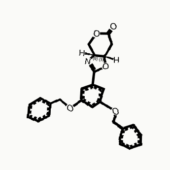 O=C1C[C@@H]2OC(c3cc(OCc4ccccc4)cc(OCc4ccccc4)c3)=N[C@@H]2CO1